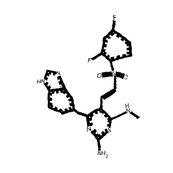 CNc1nc(N)nc(-c2ccc3[nH]cnc3c2)c1C=CS(=O)(=O)c1ccc(F)cc1F